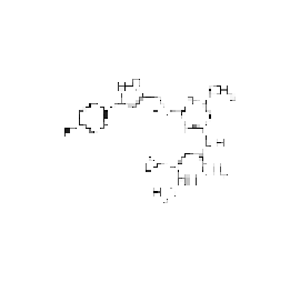 C=C(/C=C(\NN)C1CC1)Nc1cc(C)nc(NCc2cc(-c3ccc(F)cn3)no2)n1